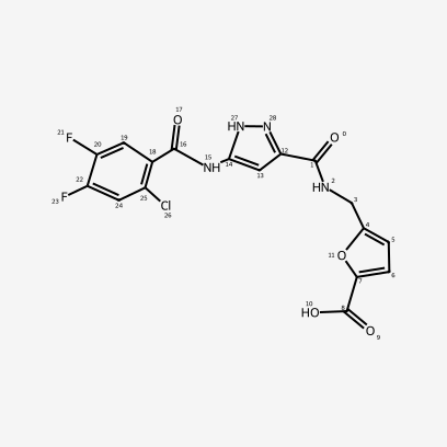 O=C(NCc1ccc(C(=O)O)o1)c1cc(NC(=O)c2cc(F)c(F)cc2Cl)[nH]n1